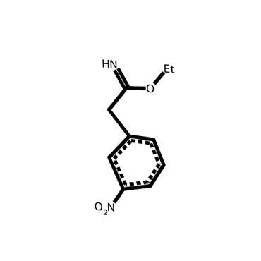 CCOC(=N)Cc1cccc([N+](=O)[O-])c1